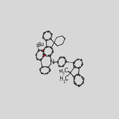 CC(C)(C)c1ccc(-c2ccccc2N(c2ccc(-c3cccc4c3C(C)(C)c3ccccc3-4)cc2)c2ccc3c(c2)C2(CCCCC2)c2ccccc2-3)cc1